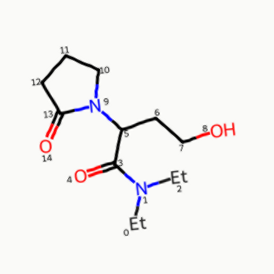 CCN(CC)C(=O)C(CCO)N1CCCC1=O